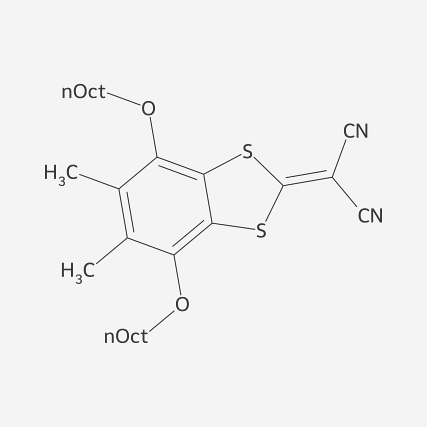 CCCCCCCCOc1c(C)c(C)c(OCCCCCCCC)c2c1SC(=C(C#N)C#N)S2